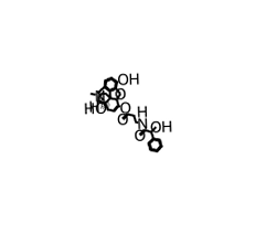 CN1CCC23c4c5ccc(O)c4OC2C(OC(=O)CCNC(=O)C(O)c2ccccc2)=CC[C@@]3(O)[C@H]1C5